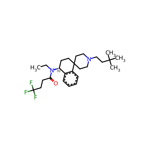 CCN(C(=O)CCC(F)(F)F)[C@H]1CCC2(CCN(CCC(C)(C)C)CC2)c2ccccc21